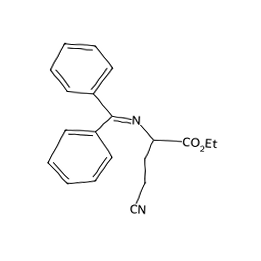 CCOC(=O)C(CCC#N)N=C(c1ccccc1)c1ccccc1